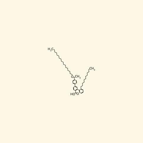 CCCCCCCCCCCCCCCCCCOC(C)c1ccc(-c2ccc(C(=O)O)c(-c3ccccc3CCCCCCCCCCCC)c2)cc1